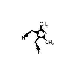 Cc1sc(C)c(CC#N)c1CC#N